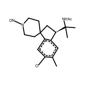 CC(=O)NC(C)(C)[C@@H]1CC2(CCN(N=O)CC2)c2cc(Cl)c(C)cc21